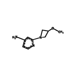 COC1CN(c2cc(N)ccn2)C1